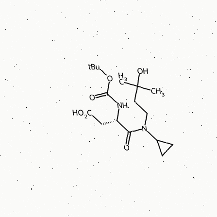 CC(C)(O)CCN(C(=O)[C@H](CC(=O)O)NC(=O)OC(C)(C)C)C1CC1